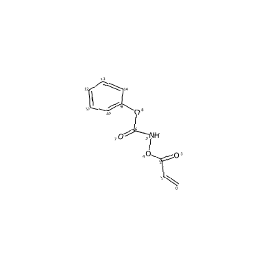 C=CC(=O)ONC(=O)Oc1ccccc1